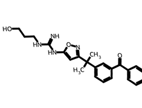 CC(C)(c1cccc(C(=O)c2ccccc2)c1)c1cc(NC(=N)NCCCO)on1